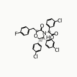 O=C(O)[C@@H](c1cccc(Cl)c1)N1C(=O)[C@H](Cc2ccc(F)cc2)O[C@@H](c2ccc(Cl)cc2)[C@H]1c1ccc(Cl)cc1